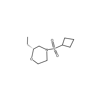 CC[C@@H]1CN(S(=O)(=O)C2CCC2)CCO1